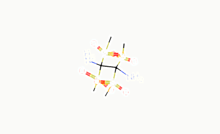 CS(=O)(=O)C(N)(C(N)(S(C)(=O)=O)S(C)(=O)=O)S(C)(=O)=O